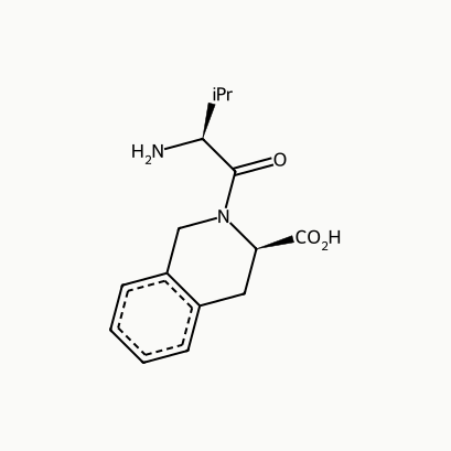 CC(C)[C@H](N)C(=O)N1Cc2ccccc2C[C@@H]1C(=O)O